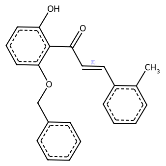 Cc1ccccc1/C=C/C(=O)c1c(O)cccc1OCc1ccccc1